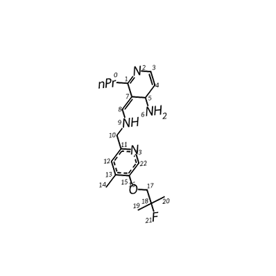 CCCC1=NC=CC(N)/C1=C\NCc1cc(C)c(OCC(C)(C)F)cn1